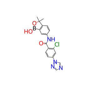 CC1(C)OB(O)c2cc(NC(=O)c3ccc(-n4cncn4)cc3Cl)ccc21